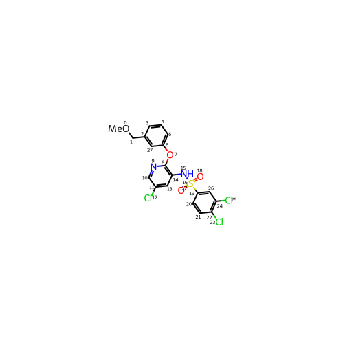 COCc1cccc(Oc2ncc(Cl)cc2NS(=O)(=O)c2ccc(Cl)c(Cl)c2)c1